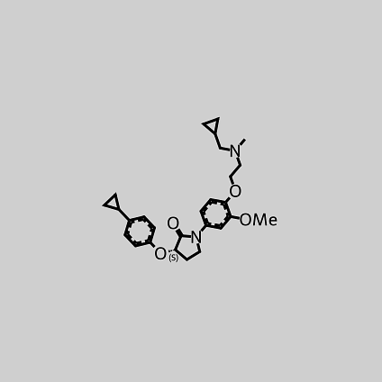 COc1cc(N2CC[C@H](Oc3ccc(C4CC4)cc3)C2=O)ccc1OCCN(C)CC1CC1